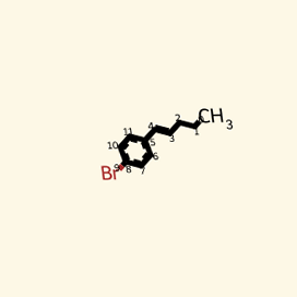 CCCC=Cc1ccc(Br)cc1